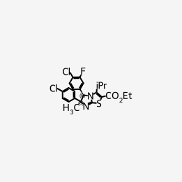 CCOC(=O)C1=C(C(C)C)N2C(=N[C@@](C)(c3ccc(Cl)cc3)[C@H]2c2ccc(Cl)c(F)c2)S1